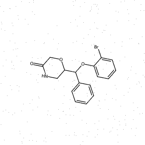 O=C1COC(C(Oc2ccccc2Br)c2ccccc2)CN1